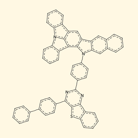 c1ccc(-c2ccc(-c3nc(-c4ccc(-n5c6cc7ccccc7cc6c6cc7c8ccccc8n8c9ccccc9c(c65)c78)cc4)nc4c3sc3ccccc34)cc2)cc1